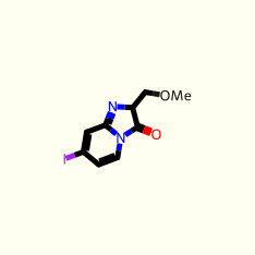 COCC1N=C2C=C(I)C=CN2C1=O